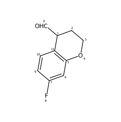 O=CC1CCOc2cc(F)ccc21